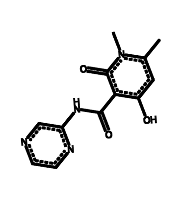 Cc1cc(O)c(C(=O)Nc2cnccn2)c(=O)n1C